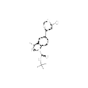 Cc1nn(C(=O)OC(C)(C)C)c2ccc(-c3cc(Cl)ncn3)cc12